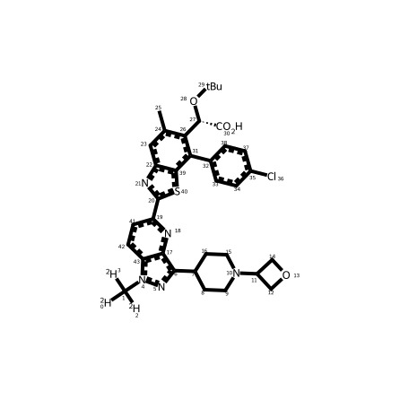 [2H]C([2H])([2H])n1nc(C2CCN(C3COC3)CC2)c2nc(-c3nc4cc(C)c([C@H](OC(C)(C)C)C(=O)O)c(-c5ccc(Cl)cc5)c4s3)ccc21